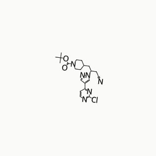 CC(C)(C)OC(=O)N1CCC(CC(CC#N)n2cc(-c3ccnc(Cl)n3)cn2)CC1